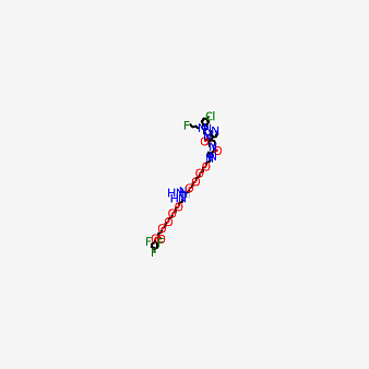 N=N/C(=C\NCCOCCOCCOCCOCCC(=O)Oc1c(F)cc(F)cc1F)COCCOCCOCCOCCn1ccc(C(=O)N2CCC3(CC2)C(=O)N(Cc2nc4cc(Cl)ccc4n2CCCCF)c2cnccc23)n1